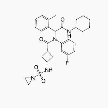 Cc1ccccc1C(C(=O)NC1CCCCC1)N(C(=O)C1CC(NS(=O)(=O)N2CC2)C1)c1cccc(F)c1